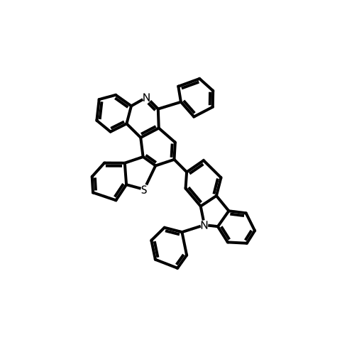 c1ccc(-c2nc3ccccc3c3c2cc(-c2ccc4c5ccccc5n(-c5ccccc5)c4c2)c2sc4ccccc4c23)cc1